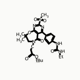 CCNC(=O)Nc1ccc(-c2nc(S(C)(=O)=O)nc3c2C(=O)N(CCC(=O)OC(C)(C)C)CC(C)(C)O3)cc1